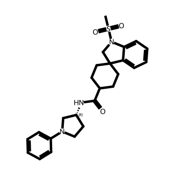 CS(=O)(=O)N1CC2(CCC(C(=O)N[C@@H]3CCN(c4ccccc4)C3)CC2)c2ccccc21